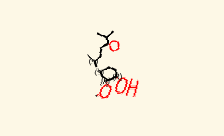 CO[C@@H]1C[C@H](C[C@@H](C)CCC(=O)C(C)C)CC[C@H]1O